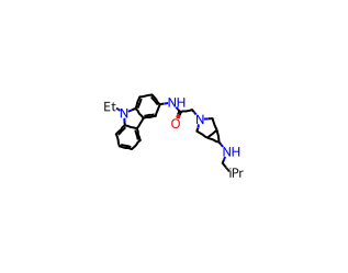 CCn1c2ccccc2c2cc(NC(=O)CN3CC4C(C3)C4NCC(C)C)ccc21